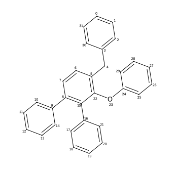 c1ccc(Cc2ccc(-c3ccccc3)c(-c3ccccc3)c2Oc2ccccc2)cc1